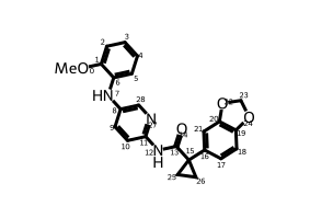 COc1ccccc1Nc1ccc(NC(=O)C2(c3ccc4c(c3)OCO4)CC2)nc1